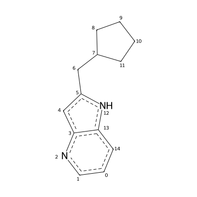 c1cnc2cc(CC3CCCC3)[nH]c2c1